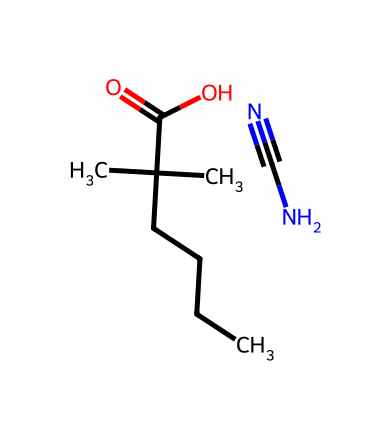 CCCCC(C)(C)C(=O)O.N#CN